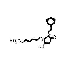 O=C(O)CCCCCC[C@H]1C(O)CC(=O)[C@@H]1CCc1ccccc1